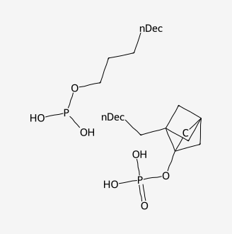 CCCCCCCCCCCC12CC3(C1)CC2(OP(=O)(O)O)C3.CCCCCCCCCCCCCOP(O)O